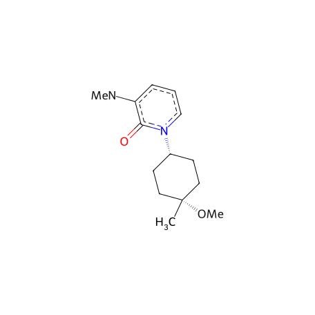 CNc1cccn([C@H]2CC[C@@](C)(OC)CC2)c1=O